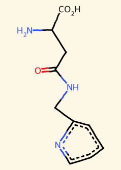 NC(CC(=O)NCc1ccccn1)C(=O)O